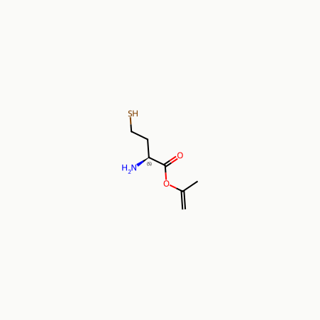 C=C(C)OC(=O)[C@@H](N)CCS